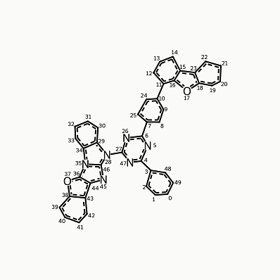 c1ccc(-c2nc(-c3ccc(-c4cccc5c4oc4ccccc45)cc3)nc(-n3c4ccccc4n4c5oc6ccccc6c5nc34)n2)cc1